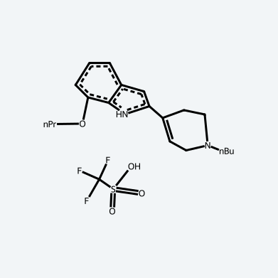 CCCCN1CC=C(c2cc3cccc(OCCC)c3[nH]2)CC1.O=S(=O)(O)C(F)(F)F